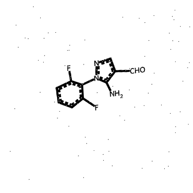 Nc1c(C=O)cnn1-c1c(F)cccc1F